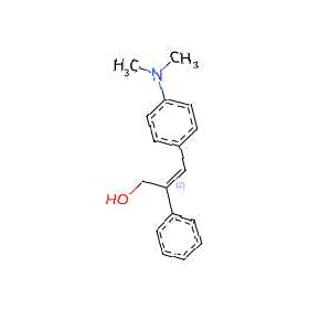 CN(C)c1ccc(/C=C(\CO)c2ccccc2)cc1